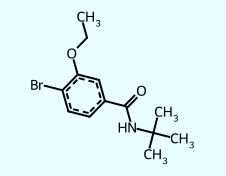 CCOc1cc(C(=O)NC(C)(C)C)ccc1Br